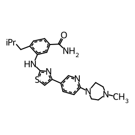 CC(C)Cc1ccc(C(N)=O)cc1Nc1nc(-c2ccc(N3CCN(C)CC3)nc2)cs1